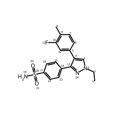 CCn1cc(-c2ccc(C)c(F)c2)c(-c2ccc(S(N)(=O)=O)cc2)n1